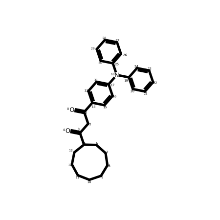 O=C(CC(=O)C1CCCCCCCC1)c1ccc(N(c2ccccc2)c2ccccc2)cc1